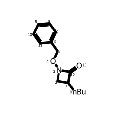 CCCCC1CN(OCc2ccccc2)C1=O